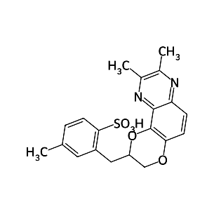 Cc1ccc(S(=O)(=O)O)c(CC2COc3ccc4nc(C)c(C)nc4c3O2)c1